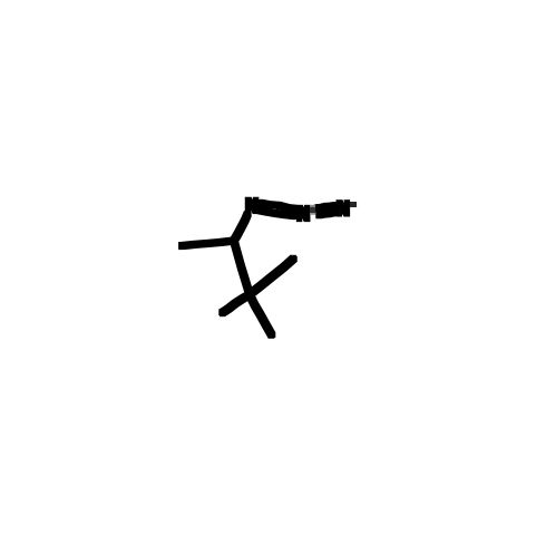 CC(N=[N+]=[N-])C(C)(C)C